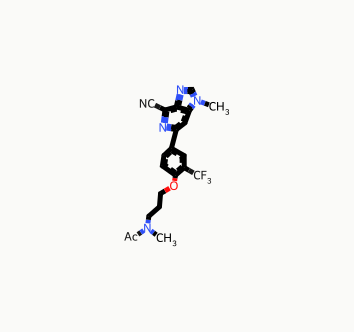 CC(=O)N(C)CCCOc1ccc(-c2cc3c(ncn3C)c(C#N)n2)cc1C(F)(F)F